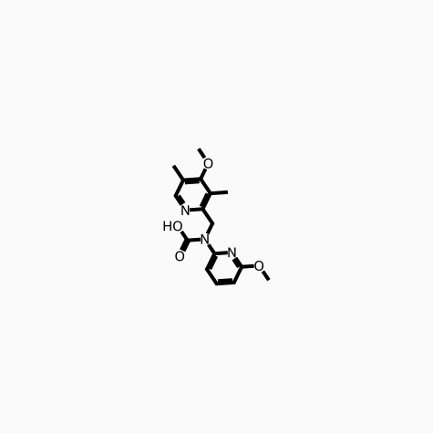 COc1cccc(N(Cc2ncc(C)c(OC)c2C)C(=O)O)n1